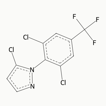 FC(F)(F)c1cc(Cl)c(-n2nccc2Cl)c(Cl)c1